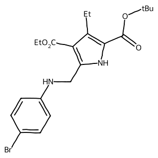 CCOC(=O)c1c(CNc2ccc(Br)cc2)[nH]c(C(=O)OC(C)(C)C)c1CC